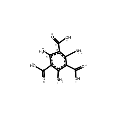 Nc1c(C(=O)O)c(N)c(C(=O)O)c(N)c1C(=O)O